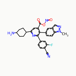 Cn1ncc2cc(-c3c(C(=O)ON=O)cc(C4CCC(N)CC4)nc3-c3ccc(C#N)c(F)c3)ccc21